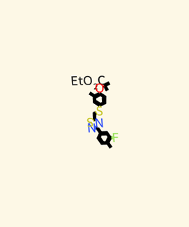 CCOC(=O)C(C)(C)Oc1ccc(SCc2nc(-c3ccc(C)c(F)c3)ns2)cc1C